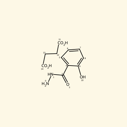 NNC(=O)c1ccccc1O.O=C(O)CCC(=O)O